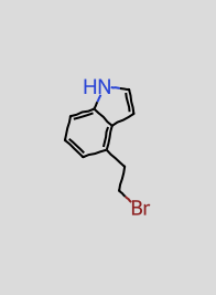 BrCCc1cccc2[nH]ccc12